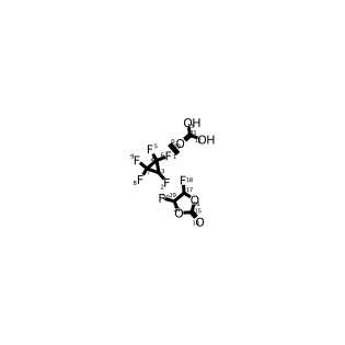 C=C.FC1C(F)(F)C1(F)F.O=C(O)O.O=C1OC(F)C(F)O1